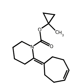 CC1(OC(=O)N2CCCCC2=C2CCC=CCC2)CC1